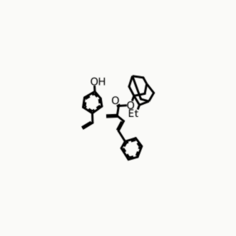 C=C(C=Cc1ccccc1)C(=O)OC12CC3CC(CC(C3)C1CC)C2.C=Cc1ccc(O)cc1